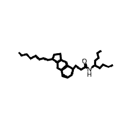 CCCCCCCCC1CCC2CC3=C(C=CCC3CCC(=O)NC(CCCC)CCCC)CC12